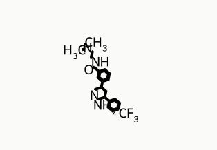 CN(C)CCNC(=O)c1cccc(C2C=NC(N)C(c3ccc(C(F)(F)F)cc3)C2)c1